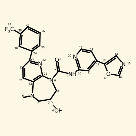 CN1C[C@@H](O)CN(C(=O)Nc2cc(-c3cnco3)ccn2)c2nc(-c3cccc(C(F)(F)F)c3)ccc21